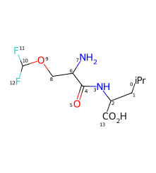 CC(C)CC(NC(=O)C(N)COC(F)F)C(=O)O